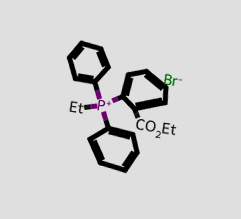 CCOC(=O)c1ccccc1[P+](CC)(c1ccccc1)c1ccccc1.[Br-]